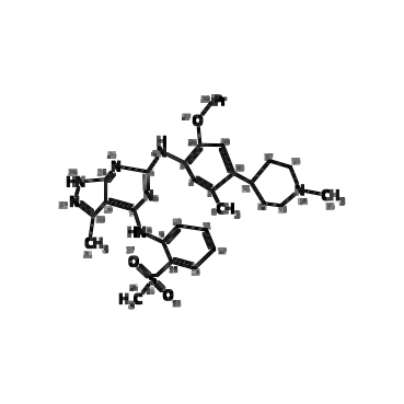 Cc1cc(Nc2nc(Nc3ccccc3S(C)(=O)=O)c3c(C)n[nH]c3n2)c(OC(C)C)cc1C1CCN(C)CC1